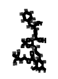 Cc1cc(C)c(C(=O)OCC[Si](C)(C)C)c(/C=C/C[C@@H]2OC(C)(C)O[C@@H]2C(O)C#CC(Cc2ccccc2)C(C)C)c1